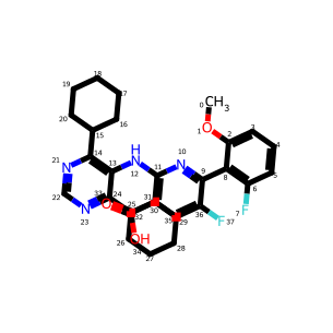 COc1cccc(F)c1-c1nc(Nc2c(C3CCCCC3)ncnc2C2CCCCC2)c(C(=O)O)cc1F